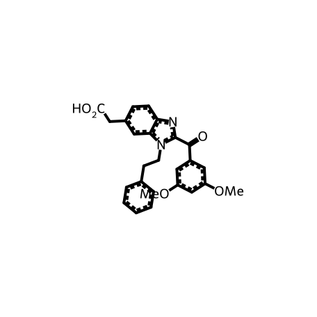 COc1cc(OC)cc(C(=O)c2nc3ccc(CC(=O)O)cc3n2CCc2ccccc2)c1